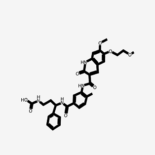 COCCOc1cc2cc(C(=O)Nc3cc(C(=O)NC(CCNC(=O)O)c4ccccc4)ccc3C)c(=O)[nH]c2cc1OC